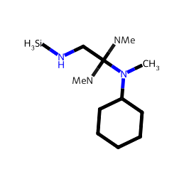 CNC(CN[SiH3])(NC)N(C)C1CCCCC1